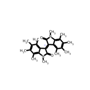 Cc1c(C)c(C)c2c(c1C)/C(=C1\C(=O)N(C)c3c(C)c(C)c(C)c(C)c31)C(=O)N2C